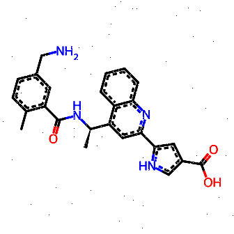 Cc1ccc(CN)cc1C(=O)N[C@H](C)c1cc(-c2cc(C(=O)O)c[nH]2)nc2ccccc12